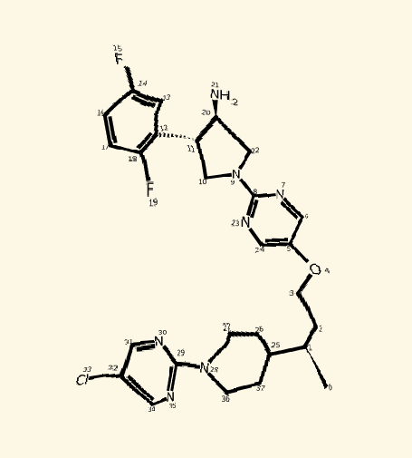 C[C@H](CCOc1cnc(N2C[C@H](c3cc(F)ccc3F)[C@@H](N)C2)nc1)C1CCN(c2ncc(Cl)cn2)CC1